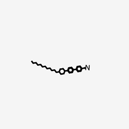 CCCCCCCCCCCCC1CCC(c2ccc(-c3ccc(C#N)cc3)cc2)CC1